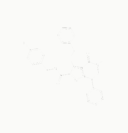 CN1CC(c2ccccc2)n2nc(C(=O)NCc3ccc(F)cc3)c(OCc3ccccc3)c2C1=O